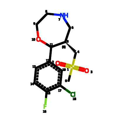 CS(=O)(=O)C[C@H]1CNCCOC1c1ccc(F)c(Cl)c1